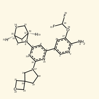 Nc1ncc(-c2cc(N3C[C@@H]4C[C@H]3CS4)nc(N3CCC4(COC4)C3)n2)cc1OC(F)F